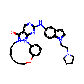 O=c1c2cnc(Nc3ccc4c(ccn4CCN4CCCC4)c3)nc2n2n1C/C=C\CCCOc1cccc-2c1